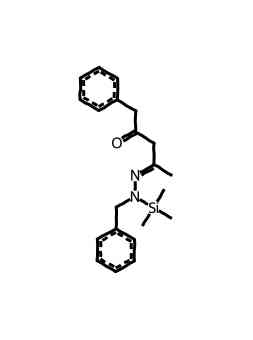 CC(CC(=O)Cc1ccccc1)=NN(Cc1ccccc1)[Si](C)(C)C